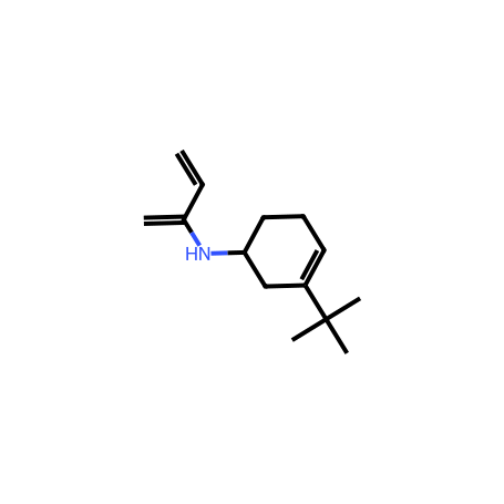 C=CC(=C)NC1CCC=C(C(C)(C)C)C1